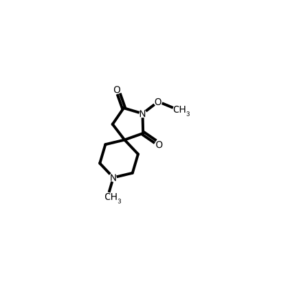 CON1C(=O)CC2(CCN(C)CC2)C1=O